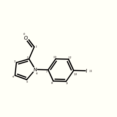 O=Cc1cccn1-c1ccc(I)cc1